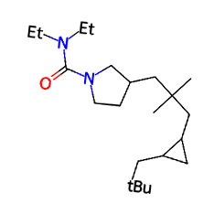 CCN(CC)C(=O)N1CCC(CC(C)(C)CC2CC2CC(C)(C)C)C1